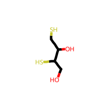 OCC(S)C(O)CS